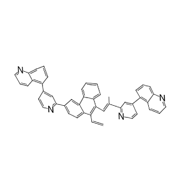 C=Cc1c(/C=C(\C)c2cc(-c3cccc4ncccc34)ccn2)c2ccccc2c2cc(-c3cc(-c4cccc5ncccc45)ccn3)ccc12